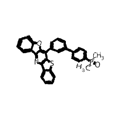 CP(C)(=O)c1ccc(-c2cccc(-c3c4oc5ccccc5c4nc4c3sc3ccccc34)c2)cc1